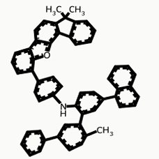 Cc1ccc(-c2ccccc2)cc1-c1cc(-c2cccc3ccccc23)ccc1Nc1ccc(-c2cccc3c2oc2c4c(ccc23)C(C)(C)c2ccccc2-4)cc1